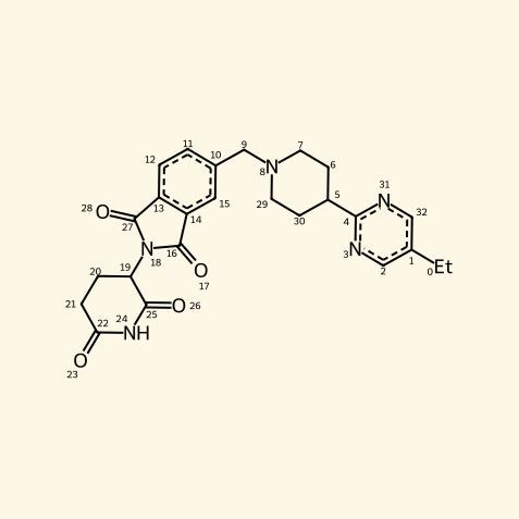 CCc1cnc(C2CCN(Cc3ccc4c(c3)C(=O)N(C3CCC(=O)NC3=O)C4=O)CC2)nc1